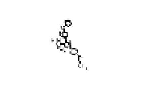 C/C=C/C(=O)N1CCC(n2nc(-c3ccc(Oc4ccccc4)nc3)c3c(N)ncnc32)CC1